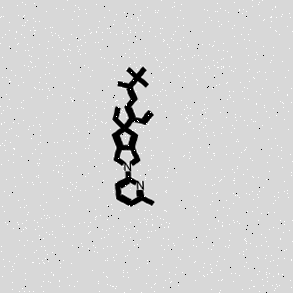 C=C/C(=C\C=C(/C)C(C)(C)C)C1(CC)C=C2CN(c3cccc(C)n3)CC2=C1